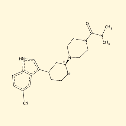 CN(C)C(=O)N1CCN([C@@H]2CC(c3c[nH]c4ccc(C#N)cc34)CC[N]2)CC1